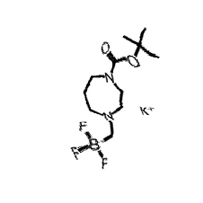 CC(C)(C)OC(=O)N1CCCN(C[B-](F)(F)F)CC1.[K+]